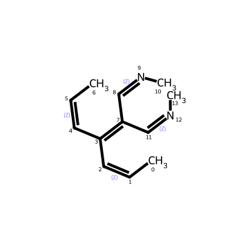 C/C=C\C(/C=C\C)=C(/C=N\C)/C=N\C